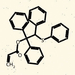 C=CC(=O)OC(c1ccccc1)(c1ccccc1)C(Sc1ccccc1)c1ccccc1